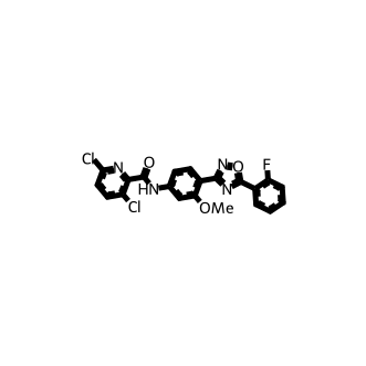 COc1cc(NC(=O)c2nc(Cl)ccc2Cl)ccc1-c1noc(-c2ccccc2F)n1